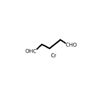 O=CCCCC=O.[Cr]